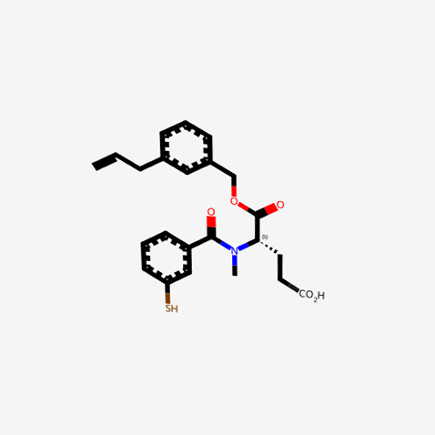 C=CCc1cccc(COC(=O)[C@H](CCC(=O)O)N(C)C(=O)c2cccc(S)c2)c1